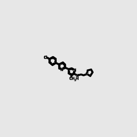 Cc1cc(-c2ccc(-c3ccc(Cl)cc3)cn2)cnc1NCCN1CCCC1